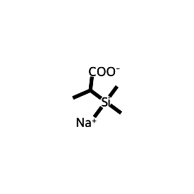 CC(C(=O)[O-])[Si](C)(C)C.[Na+]